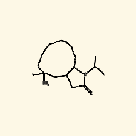 BC1(I)CCCCCCC2C(CC(=S)N2C(C)C)C1